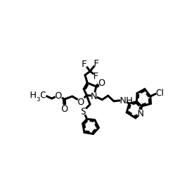 CCOC(=O)COC1(CSc2ccccc2)C=C(CC(F)(F)F)C(=O)N1CCCNc1ccnc2cc(Cl)ccc12